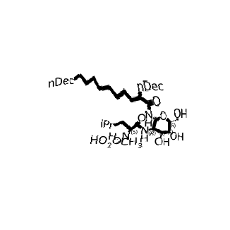 CC(=O)O.CCCCCCCCCCCCCCCCCCC(CCCCCCCCCC)C(=O)N[C@@H]1O[C@H](CO)[C@@H](O)[C@H](O)[C@H]1NC(=O)[C@@H](N)CC(C)C